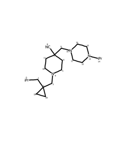 CC(C)CC1(CN2CCC(C#N)(CN3CCN(C(C)C)CC3)CC2)CC1